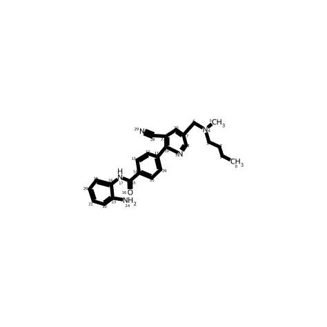 CCCCN(C)Cc1cnc(-c2ccc(C(=O)Nc3ccccc3N)cc2)c(C#N)c1